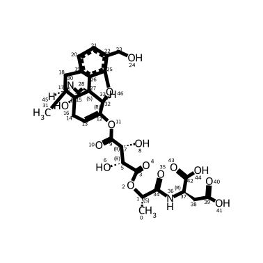 C[C@H](OC(=O)[C@H](O)[C@@H](O)C(=O)OC1=CC[C@@]2(O)[C@H]3Cc4ccc(CO)c5c4[C@@]2(CCN3C)[C@H]1O5)C(=O)N[C@H](CC(=O)O)C(=O)O